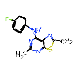 Cc1nc(Nc2ccc(F)cc2)c2nc(C)sc2n1